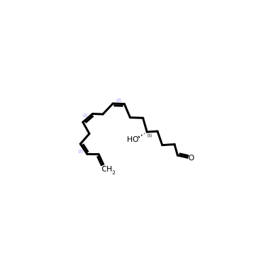 C=C/C=C\C/C=C\C/C=C\CC[C@@H](O)CCCC=O